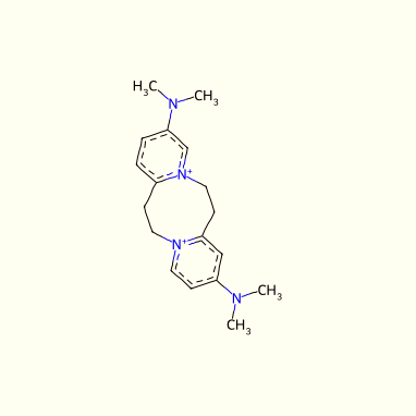 CN(C)c1cc[n+]2c(c1)CC[n+]1cc(N(C)C)ccc1CC2